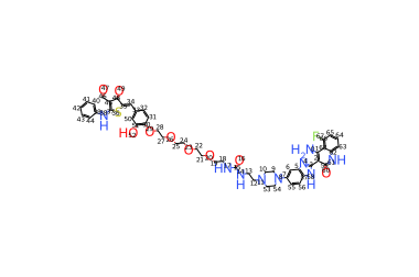 Nc1c(-c2nc3cc(N4CCN(CCNC(=O)NCCOCCOCCOCCOc5ccc(/C=C6\SC(Nc7ccccc7)=C(C=O)C6=O)cc5O)CC4)ccc3[nH]2)c(=O)[nH]c2cccc(F)c12